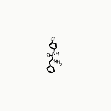 N[C@H](Cc1ccccc1)C(=O)Nc1ccc(Cl)cc1